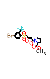 COC(=O)C1CCCN1C(=O)CC(=O)CS(=O)(=O)c1ccc(Br)cc1C(F)(F)F